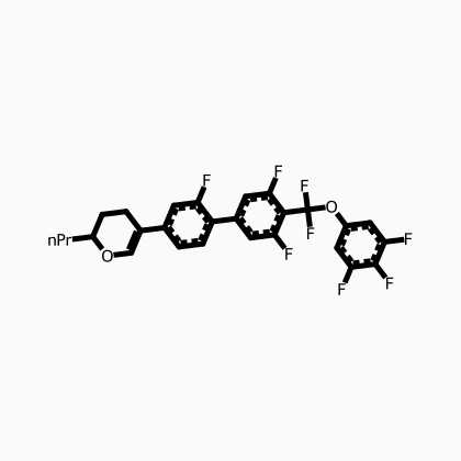 CCCC1CCC(c2ccc(-c3cc(F)c(C(F)(F)Oc4cc(F)c(F)c(F)c4)c(F)c3)c(F)c2)=CO1